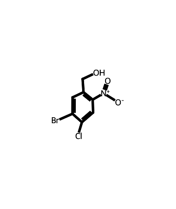 O=[N+]([O-])c1cc(Cl)c(Br)cc1CO